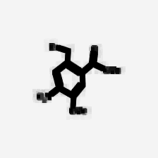 COC(=O)c1cc(OC)c([N+](=O)[O-])cc1CBr